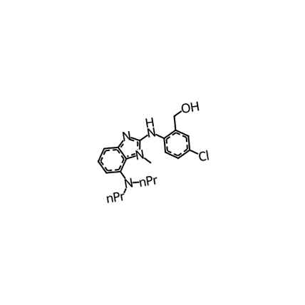 CCCN(CCC)c1cccc2nc(Nc3ccc(Cl)cc3CO)n(C)c12